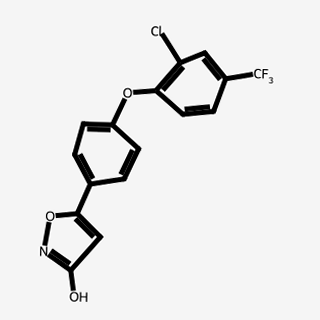 Oc1cc(-c2ccc(Oc3ccc(C(F)(F)F)cc3Cl)cc2)on1